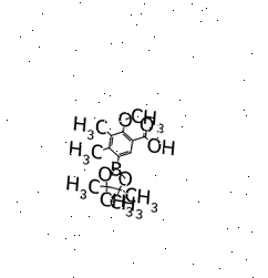 COc1c(C(=O)O)cc(B2OC(C)(C)C(C)(C)O2)c(C)c1C